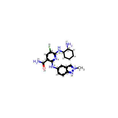 Cn1cc2cc(Nc3nc(NC4CCCC[C@@H]4N)c(F)cc3C(N)=O)ccc2n1